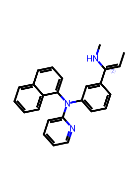 C/C=C(\NC)c1cccc(N(c2ccccn2)c2cccc3ccccc23)c1